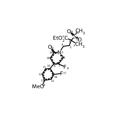 CCOC(=O)C(C)(CCn1cc(F)c(-c2ccc(OC)cc2F)cc1=O)S(C)(=O)=O